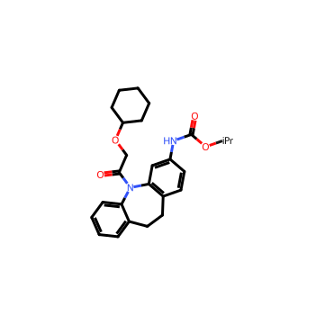 CC(C)OC(=O)Nc1ccc2c(c1)N(C(=O)COC1CCCCC1)c1ccccc1CC2